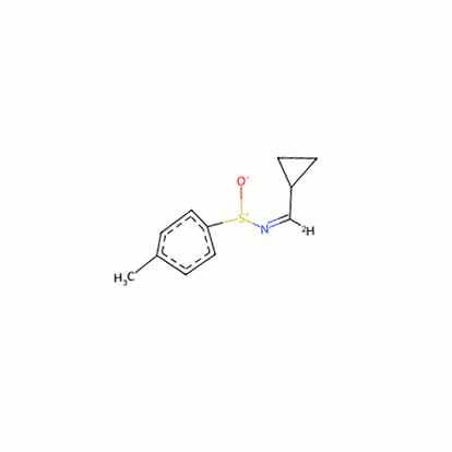 [2H]C(=N[S+]([O-])c1ccc(C)cc1)C1CC1